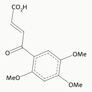 COc1cc(OC)c(C(=O)C=CC(=O)O)cc1OC